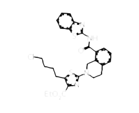 CCOC(=O)c1nc(N2CCc3cccc(C(=O)Nc4nc5ccccc5s4)c3C2)sc1CCCCCl